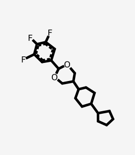 Fc1cc(C2OCC(C3CCC(C4CCCC4)CC3)CO2)cc(F)c1F